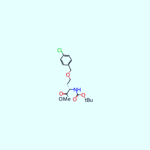 COC(=O)[C@H](CCOCc1ccc(Cl)cc1)NC(=O)OC(C)(C)C